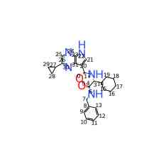 O=C(N[C@@H](C(=O)NCc1ccccc1)C1CCCCC1)c1c[nH]c2ncc(C3CC3)nc12